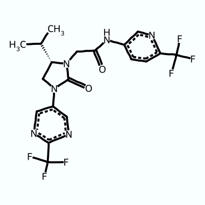 CC(C)[C@H]1CN(c2cnc(C(F)(F)F)nc2)C(=O)N1CC(=O)Nc1ccc(C(F)(F)F)nc1